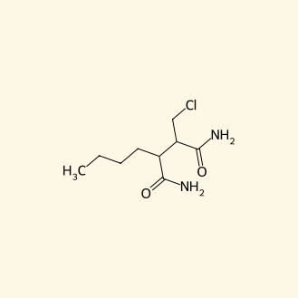 CCCCC(C(N)=O)C(CCl)C(N)=O